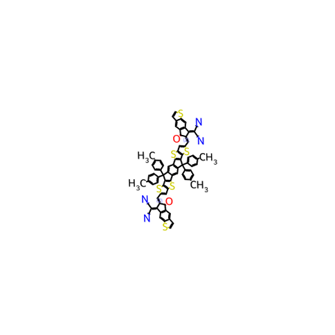 Cc1ccc(C2(c3ccc(C)cc3)c3cc4c(cc3-c3sc5cc(/C=C6\C(=O)c7cc8ccsc8cc7C6=C(C#N)C#N)sc5c32)C(c2ccc(C)cc2)(c2ccc(C)cc2)c2c-4sc3cc(/C=C4\C(=O)c5cc6ccsc6cc5C4=C(C#N)C#N)sc23)cc1